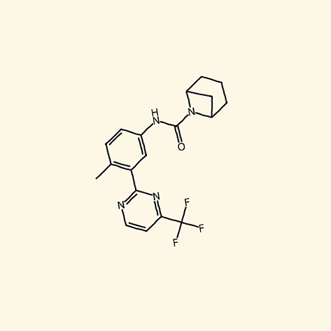 Cc1ccc(NC(=O)N2C3CCCC2C3)cc1-c1nccc(C(F)(F)F)n1